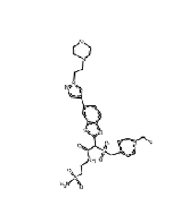 NS(=O)(=O)CCNC(=O)C(c1nc2ccc(-c3cnn(CCN4CCOCC4)c3)cc2s1)S(=O)(=O)Cc1ccc(CF)cc1